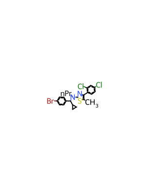 CCCN(c1nc(-c2ccc(Cl)cc2Cl)c(C)s1)C(c1ccc(Br)cc1)C1CC1